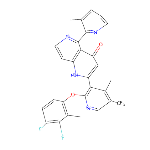 Cc1cccnc1-c1nccc2[nH]c(-c3c(Oc4ccc(F)c(F)c4C)ncc(C(F)(F)F)c3C)cc(=O)c12